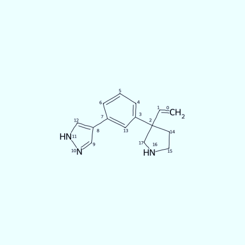 C=CC1(c2cccc(-c3cn[nH]c3)c2)CCNC1